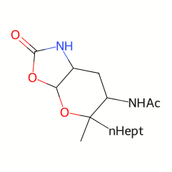 CCCCCCCC1(C)OC2OC(=O)NC2CC1NC(C)=O